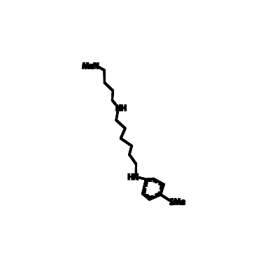 CNCCCCNCCCCCCNc1ccc(SC)cc1